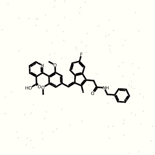 COc1cc(/C=C2/C(C)=C(CC(=O)NCc3ccccc3)c3cc(F)ccc32)cc(OC)c1-c1ncccc1C(=O)O